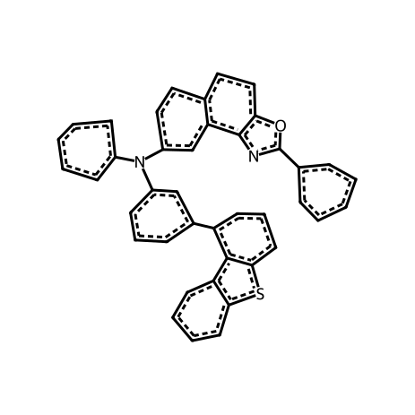 c1ccc(-c2nc3c(ccc4ccc(N(c5ccccc5)c5cccc(-c6cccc7sc8ccccc8c67)c5)cc43)o2)cc1